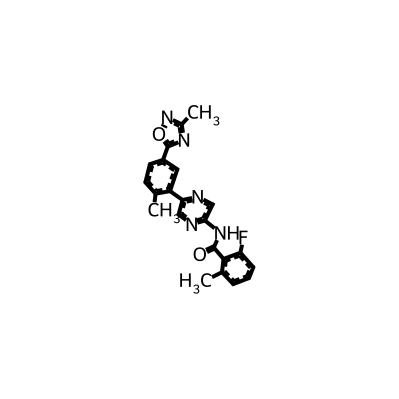 Cc1noc(-c2ccc(C)c(-c3cnc(NC(=O)c4c(C)cccc4F)cn3)c2)n1